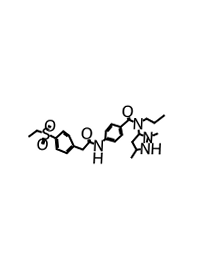 CCCN(C(=O)c1ccc(NC(=O)Cc2ccc(S(=O)(=O)CC)cc2)cc1)C1CC(C)NN1C